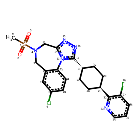 CS(=O)(=O)N1Cc2cc(Cl)ccc2-n2c(nnc2[C@H]2CC[C@H](c3ncccc3F)CC2)C1